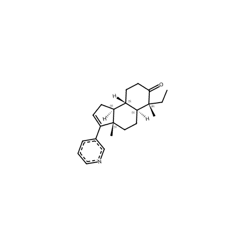 CC[C@@]1(C)C(=O)CC[C@@H]2[C@@H]1CC[C@]1(C)C(c3cccnc3)=CC[C@@H]21